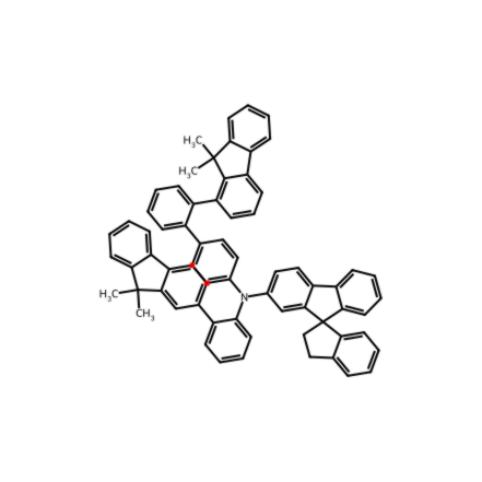 CC1(C)c2ccccc2-c2ccc(-c3ccccc3N(c3ccc(-c4ccccc4-c4cccc5c4C(C)(C)c4ccccc4-5)cc3)c3ccc4c(c3)C3(CCc5ccccc53)c3ccccc3-4)cc21